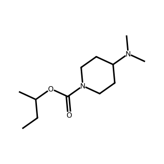 CCC(C)OC(=O)N1CCC(N(C)C)CC1